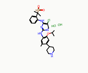 Cc1cc(Nc2ncc(Cl)c(Nc3ccccc3C(C)(C)[SH](=O)=O)n2)c(OC(C)C)cc1C1CCNCC1.Cl.Cl